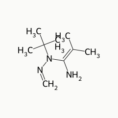 C=NN(C(N)=C(C)C)C(C)(C)C